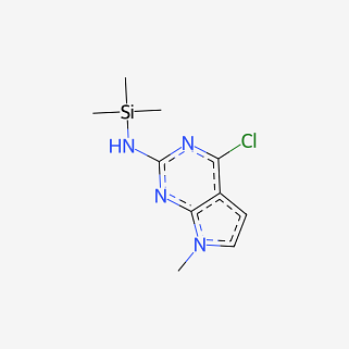 Cn1ccc2c(Cl)nc(N[Si](C)(C)C)nc21